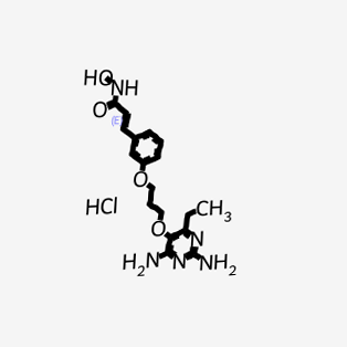 CCc1nc(N)nc(N)c1OCCCOc1cccc(/C=C/C(=O)NO)c1.Cl